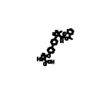 Cc1noc(-c2ccc(-c3ccc(Oc4nc[nH]c4C(=O)O)cc3)cc2)c1NC(=O)O[C@H](C)c1ccccc1